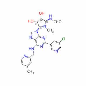 Cc1ccnc(CNc2nc(-c3cncc(Cl)c3)nc3c2ncn3[C@H]2[C@H](O)[C@H](O)[C@@H](NC=O)N2C)c1